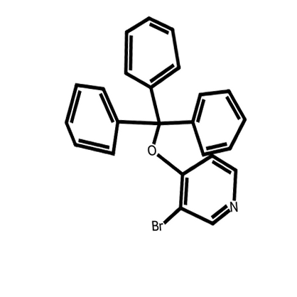 Brc1cnccc1OC(c1ccccc1)(c1ccccc1)c1ccccc1